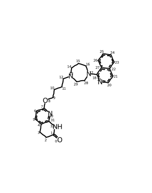 O=C1CCc2ccc(OCCCCN3CCCN(c4nccc5ccccc45)CC3)nc2N1